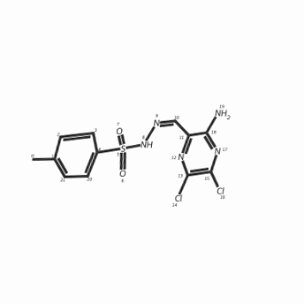 Cc1ccc(S(=O)(=O)N/N=C\c2nc(Cl)c(Cl)nc2N)cc1